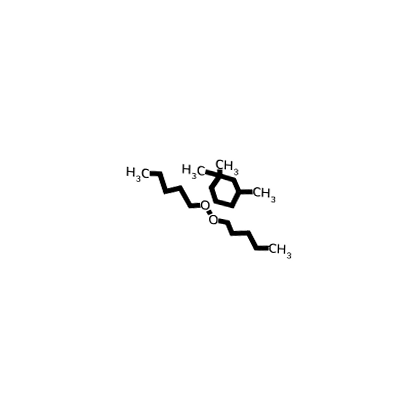 CC1CCCC(C)(C)C1.CCCCCOOCCCCC